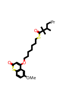 COc1ccc2sc(=O)cc(OCCCCCCCSC(=O)C(C)(C)C(C)CC(C)C)c2c1